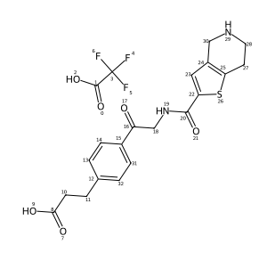 O=C(O)C(F)(F)F.O=C(O)CCc1ccc(C(=O)CNC(=O)c2cc3c(s2)CCNC3)cc1